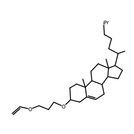 C=COCCCOC1CCC2(C)C(=CCC3C2CCC2(C)C(C(C)CCCC(C)C)CCC32)C1